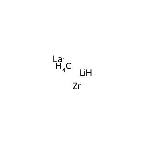 C.[La].[LiH].[Zr]